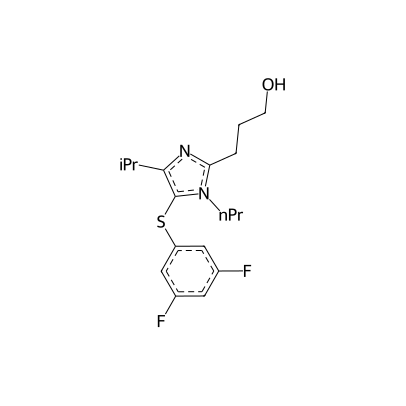 CCCn1c(CCCO)nc(C(C)C)c1Sc1cc(F)cc(F)c1